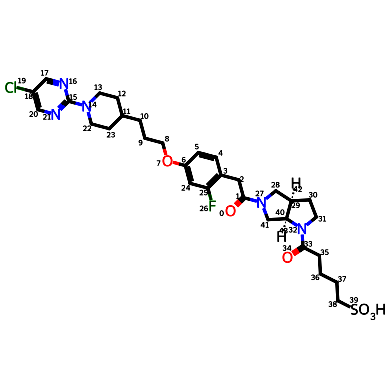 O=C(Cc1ccc(OCCCC2CCN(c3ncc(Cl)cn3)CC2)cc1F)N1C[C@H]2CCN(C(=O)CCCCS(=O)(=O)O)[C@H]2C1